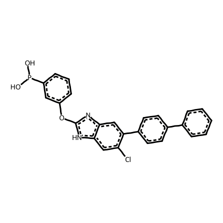 OP(O)c1cccc(Oc2nc3cc(-c4ccc(-c5ccccc5)cc4)c(Cl)cc3[nH]2)c1